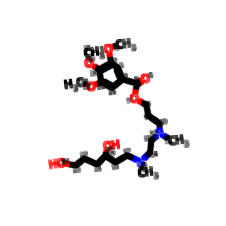 COc1cc(C(=O)OCCCN(C)CCN(C)CCC(O)CCCO)cc(OC)c1OC